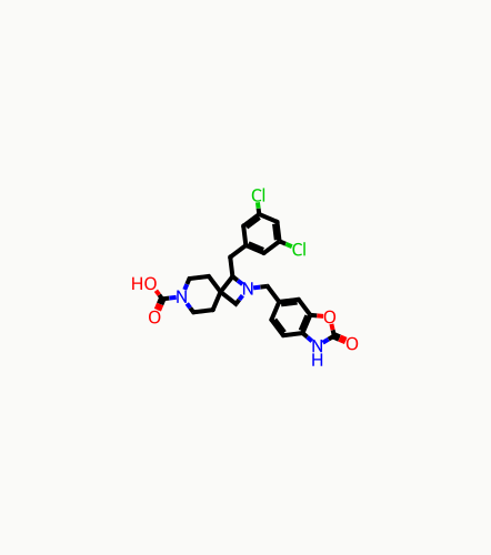 O=C(O)N1CCC2(CC1)CN(Cc1ccc3[nH]c(=O)oc3c1)C2Cc1cc(Cl)cc(Cl)c1